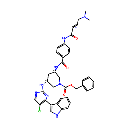 CN(C)C/C=C/C(=O)Nc1ccc(C(=O)N[C@@H]2C[C@@H](Nc3ncc(Cl)c(-c4c[nH]c5ccccc45)n3)CN(C(=O)OCc3ccccc3)C2)cc1